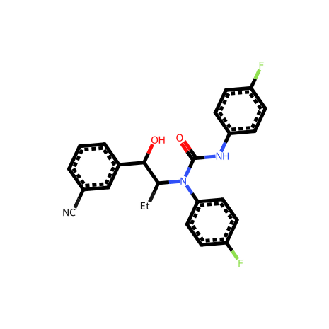 CCC(C(O)c1cccc(C#N)c1)N(C(=O)Nc1ccc(F)cc1)c1ccc(F)cc1